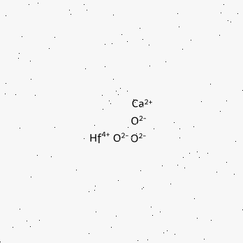 [Ca+2].[Hf+4].[O-2].[O-2].[O-2]